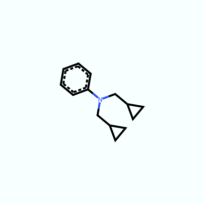 c1ccc(N(CC2CC2)CC2CC2)cc1